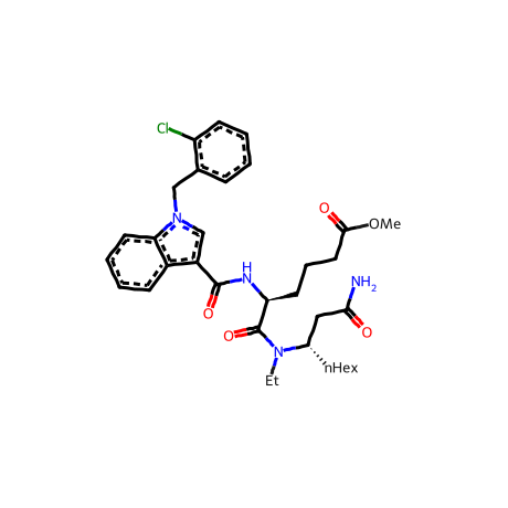 CCCCCC[C@@H](CC(N)=O)N(CC)C(=O)[C@H](CCCC(=O)OC)NC(=O)c1cn(Cc2ccccc2Cl)c2ccccc12